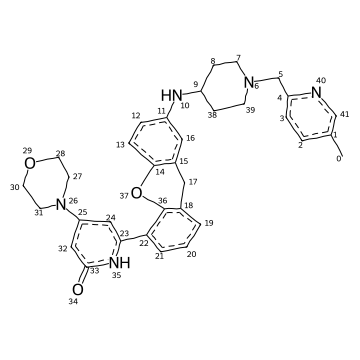 Cc1ccc(CN2CCC(Nc3ccc4c(c3)Cc3cccc(-c5cc(N6CCOCC6)cc(=O)[nH]5)c3O4)CC2)nc1